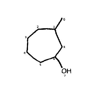 CC1CCCCC(O)C1